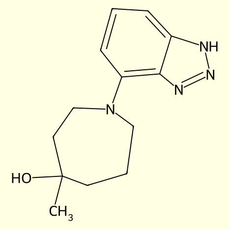 CC1(O)CCCN(c2cccc3[nH]nnc23)CC1